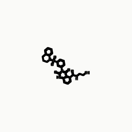 O=C(NCCO)c1cccc2[nH]c(=O)n(-c3cccc(S(=O)(=O)N4CCCc5ccccc54)c3)c(=O)c12